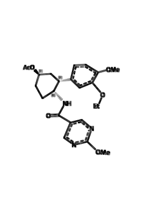 CCOc1cc([C@H]2C[C@H](OC(C)=O)CC[C@H]2NC(=O)c2cnc(OC)nc2)ccc1OC